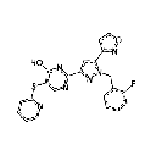 Oc1nc(-c2cc(-c3ccon3)n(Cc3ccccc3F)n2)ncc1Sc1ccccn1